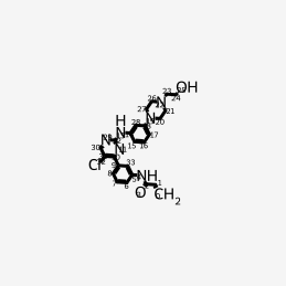 C=CC(=O)Nc1cccc(-c2nc(Nc3cccc(N4CCN(CCO)CC4)c3)ncc2Cl)c1